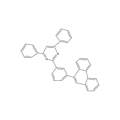 c1ccc(-c2cc(-c3ccccc3)nc(-c3cccc(-c4cc5ccccc5c5ccccc45)c3)n2)cc1